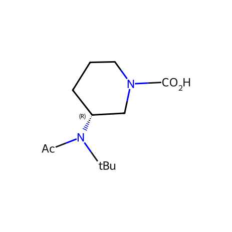 CC(=O)N([C@@H]1CCCN(C(=O)O)C1)C(C)(C)C